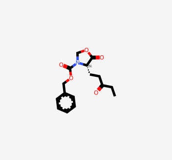 CCC(=O)CC[C@H]1C(=O)OCN1C(=O)OCc1ccccc1